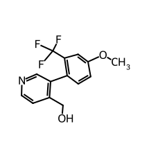 COc1ccc(-c2cnccc2CO)c(C(F)(F)F)c1